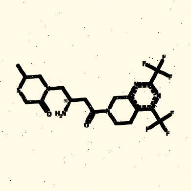 CC1CN(C[C@H](N)CC(=O)N2CCc3c(nc(C(F)(F)F)nc3C(F)(F)F)C2)C(=O)CS1